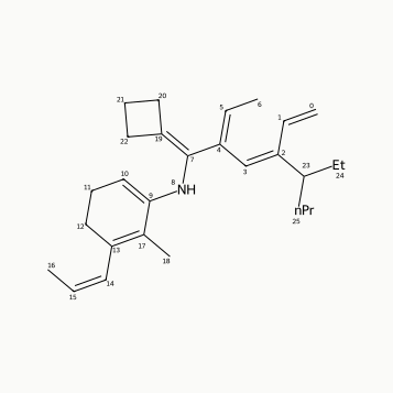 C=C/C(=C\C(=C/C)C(NC1=CCCC(/C=C\C)=C1C)=C1CCC1)C(CC)CCC